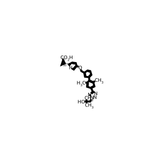 Cc1cc(-c2nnn(CC(C)(C)O)n2)cc(C)c1-c1cccc(COc2ccc([C@@H]3C[C@H]3C(=O)O)nc2)c1